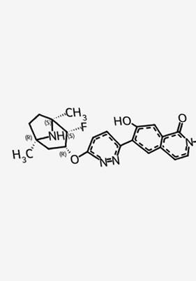 Cn1ccc2cc(-c3ccc(O[C@@H]4C[C@@]5(C)CC[C@](C)(N5)[C@@H]4F)nn3)c(O)cc2c1=O